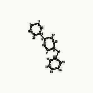 [c]1cccc(-c2ccc(Cc3ccccc3)cc2)c1